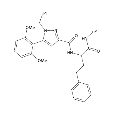 CCCNC(=O)C(CCc1ccccc1)NC(=O)c1cc(-c2c(OC)cccc2OC)n(CC(C)C)n1